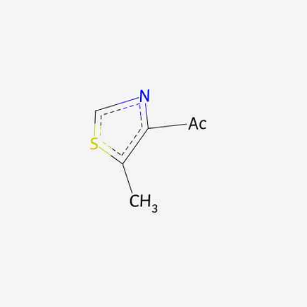 CC(=O)c1ncsc1C